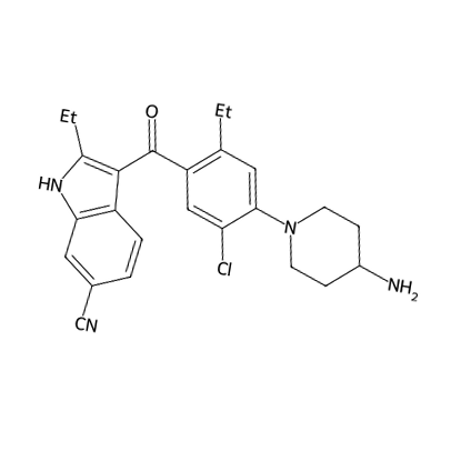 CCc1cc(N2CCC(N)CC2)c(Cl)cc1C(=O)c1c(CC)[nH]c2cc(C#N)ccc12